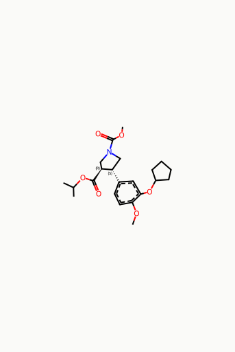 COC(=O)N1C[C@H](C(=O)OC(C)C)[C@@H](c2ccc(OC)c(OC3CCCC3)c2)C1